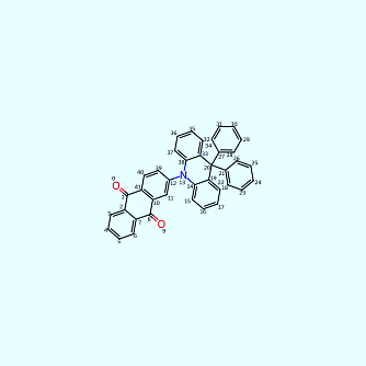 O=C1c2ccccc2C(=O)c2cc(N3c4ccccc4C(c4ccccc4)(c4ccccc4)c4ccccc43)ccc21